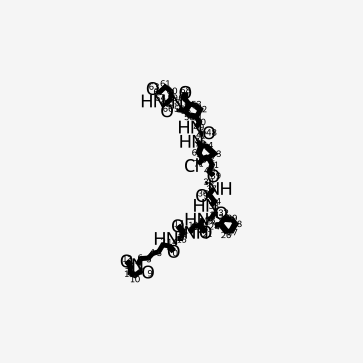 O=C(CCCCCN1C(=O)C=CC1=O)NCC(=O)NCC(=O)N[C@@H](Cc1ccccc1)C(=O)NCC(=O)NCOCCc1ccc(NC(=O)NCc2ccc3c(c2)CN(C2CCC(=O)NC2=O)C3=O)cc1Cl